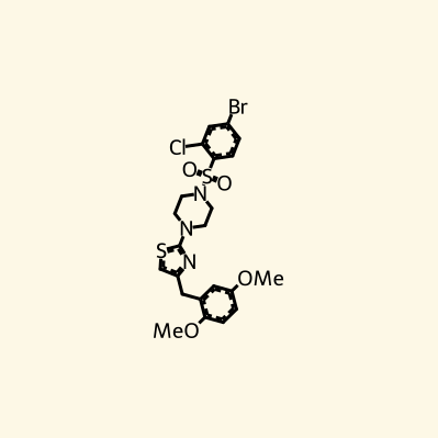 COc1ccc(OC)c(Cc2csc(N3CCN(S(=O)(=O)c4ccc(Br)cc4Cl)CC3)n2)c1